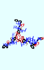 COc1cc2c(=N)n(CCn3cc(C(=O)NCCN4CCOCC4)c4ccccc43)c(=S)[nH]c2cc1OCCOc1cc2c(=N)n(CCNC(=O)c3ccc(-c4ccccc4)[nH]3)c(=S)[nH]c2cc1OCCOc1cc2c(=N)n(CCNC(=O)c3cccc(-c4ccccc4)n3)c(=S)[nH]c2cc1OC